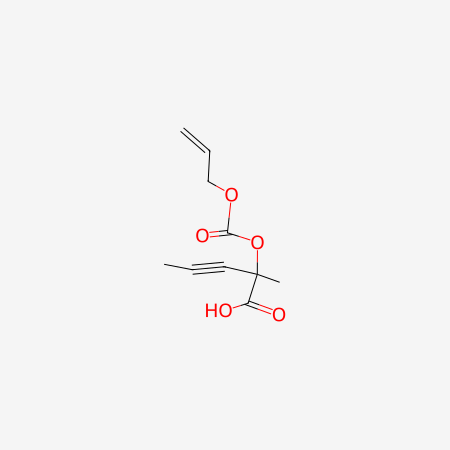 C=CCOC(=O)OC(C)(C#CC)C(=O)O